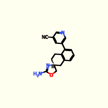 N#Cc1cncc(-c2cccc3c2CC[C@@]2(COC(N)=N2)C3)c1